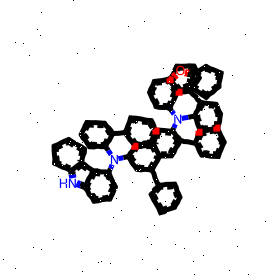 c1ccc(-c2ccccc2N(c2cc(-c3ccccc3)c3cc(-c4ccccc4)c(N(c4ccccc4-c4ccccc4)c4cccc5oc6ccccc6c45)cc3c2)c2cccc3[nH]c4ccccc4c23)cc1